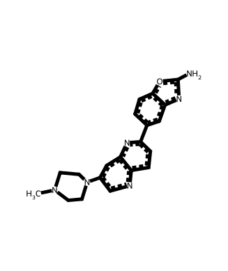 CN1CCN(c2cnc3ccc(-c4ccc5oc(N)nc5c4)nc3c2)CC1